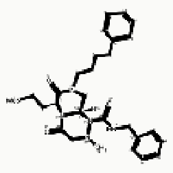 CSCC[C@H]1C(=O)N(CCCCc2ccccc2)C[C@H]2N1C(=O)CN(C)N2C(=O)NCc1ccccc1